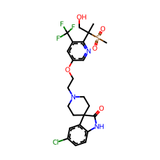 CC(CO)(c1ncc(OCCN2CCC3(CC2)C(=O)Nc2ccc(Cl)cc23)cc1C(F)(F)F)S(C)(=O)=O